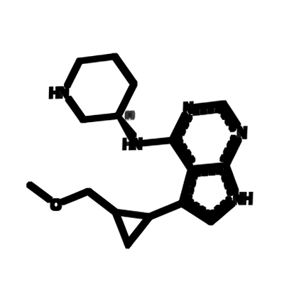 COCC1CC1c1c[nH]c2ncnc(N[C@@H]3CCCNC3)c12